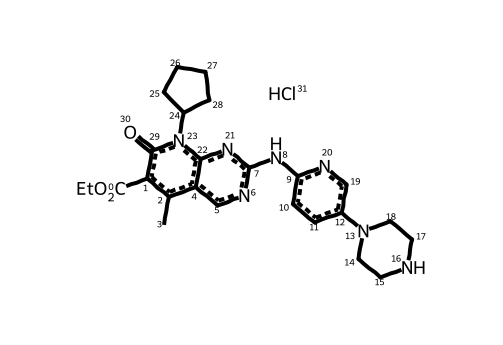 CCOC(=O)c1c(C)c2cnc(Nc3ccc(N4CCNCC4)cn3)nc2n(C2CCCC2)c1=O.Cl